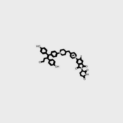 O=C1CCC(N2C(=O)c3cc(F)c(N4CC5CCC4CN5CC4CCN(c5ccc(C(=C(CCCl)c6ccc(O)cc6)c6ccc(O)cc6)cc5)CC4)cc3C2=O)C(=O)N1